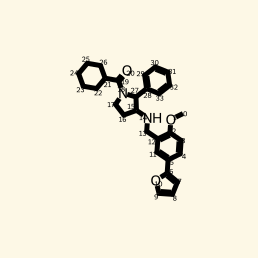 COc1ccc(-c2ccco2)cc1CNC1CCN(C(=O)C2CCCCC2)C1c1ccccc1